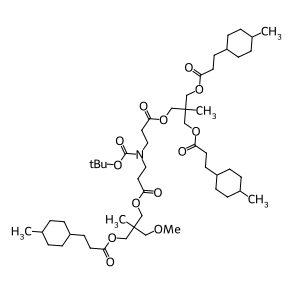 COCC(C)(COC(=O)CCC1CCC(C)CC1)COC(=O)CCN(CCC(=O)OCC(C)(COC(=O)CCC1CCC(C)CC1)COC(=O)CCC1CCC(C)CC1)C(=O)OC(C)(C)C